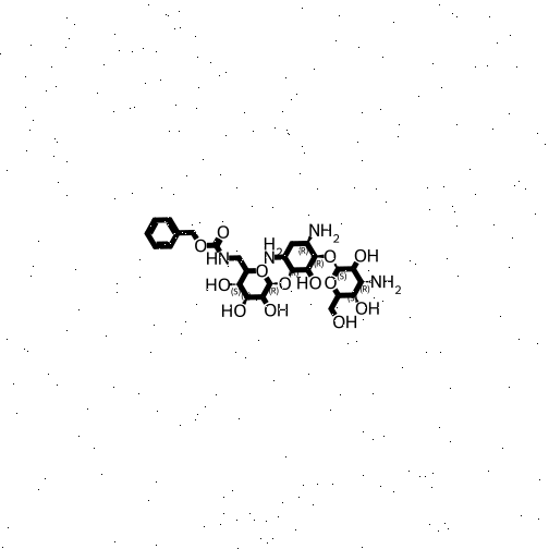 NC1C[C@@H](N)[C@@H](O[C@H]2OC(CO)[C@@H](O)[C@@H](N)C2O)C(O)[C@@H]1O[C@H]1OC(CNC(=O)OCc2ccccc2)[C@@H](O)[C@H](O)C1O